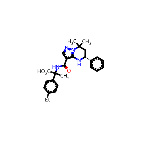 CCc1ccc(C(C)(NC(=O)c2cnn3c2N[C@@H](c2ccccc2)CC3(C)C)C(=O)O)cc1